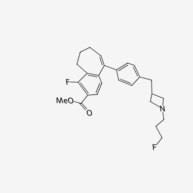 COC(=O)c1ccc2c(c1F)CCCC=C2c1ccc(CC2CN(CCCF)C2)cc1